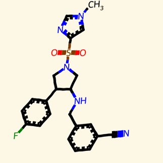 Cn1cnc(S(=O)(=O)N2CC(NCc3cccc(C#N)c3)C(c3ccc(F)cc3)C2)c1